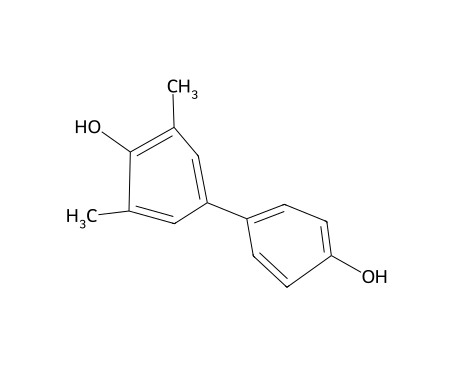 Cc1cc(-c2ccc(O)cc2)cc(C)c1O